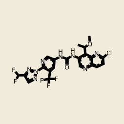 COC(C)c1c(NC(=O)Nc2cnc(-n3ncc(C(F)F)n3)c(C(F)(F)F)c2)cnc2ccc(Cl)nc12